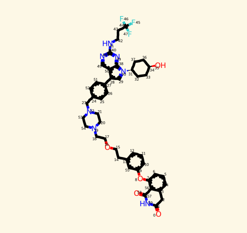 O=C1Cc2cccc(Oc3cccc(CCOCCN4CCN(Cc5ccc(-c6cn([C@H]7CC[C@H](O)CC7)c7nc(NCCC(F)(F)F)ncc67)cc5)CC4)c3)c2C(=O)N1